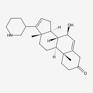 C[C@]12CCC(=O)CC1=C[C@H](O)[C@@H]1[C@@H]2CC[C@]2(C)C(C3CCCNC3)=CC[C@@H]12